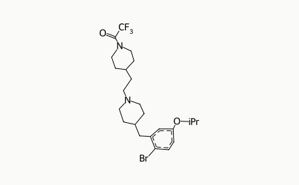 CC(C)Oc1ccc(Br)c(CC2CCN(CCC3CCN(C(=O)C(F)(F)F)CC3)CC2)c1